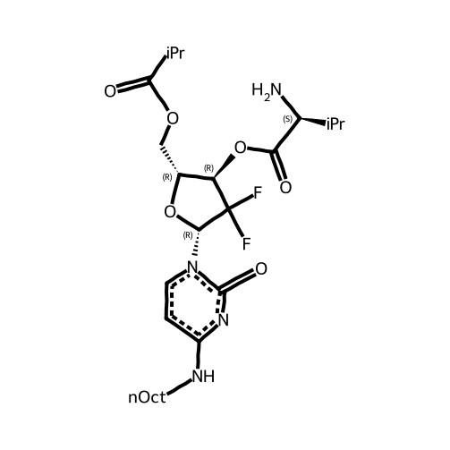 CCCCCCCCNc1ccn([C@@H]2O[C@H](COC(=O)C(C)C)[C@@H](OC(=O)[C@@H](N)C(C)C)C2(F)F)c(=O)n1